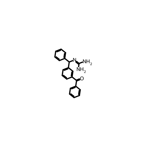 NC(N)=NC(c1ccccc1)c1cccc(C(=O)c2ccccc2)c1